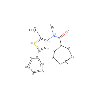 CC(C)N(C(=O)C1CCCCCC1)c1cc(-c2ccccc2)sc1C(=O)O